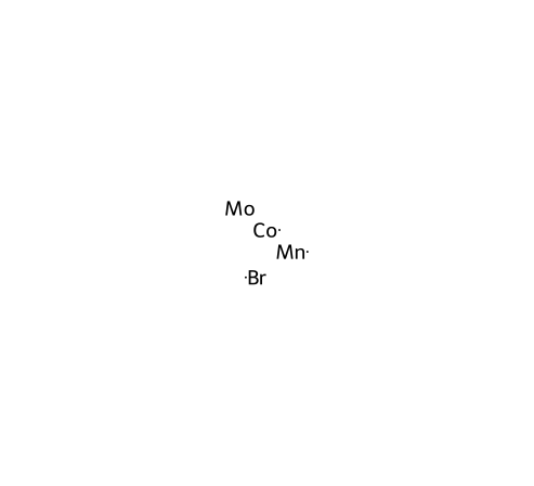 [Br].[Co].[Mn].[Mo]